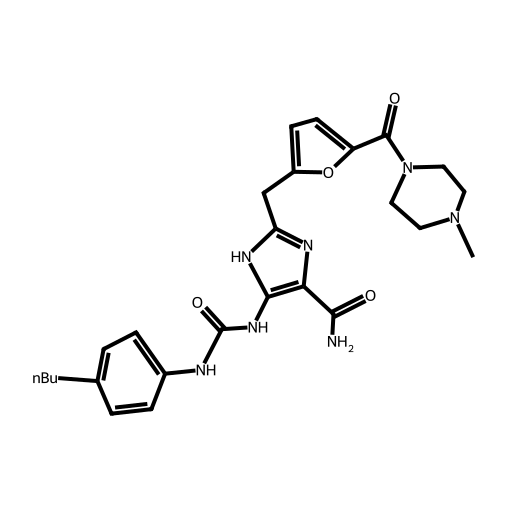 CCCCc1ccc(NC(=O)Nc2[nH]c(Cc3ccc(C(=O)N4CCN(C)CC4)o3)nc2C(N)=O)cc1